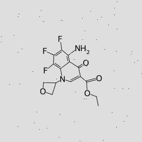 CCOC(=O)c1cn(C2COC2)c2c(F)c(F)c(F)c(N)c2c1=O